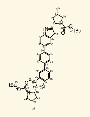 C[C@H]1C[C@@H](C2=Nc3ccc(-c4ccc(-c5ccc6nc([C@@H]7C[C@H](C)CN7C(=O)OC(C)(C)C)n(C)c6c5)cc4)cc3C2)N(C(=O)OC(C)(C)C)C1